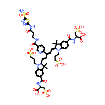 CC1(C)C(=CC=C(/C=C/C2=[N+](CCCS(=O)(=O)O)c3ccc(C(=O)NC(CS(=O)(=O)O)C(=O)O)cc3C2(C)C)c2ccc(C(=O)NCCC(=O)Nc3nnc(S(N)(=O)=O)s3)cn2)N(CCCS(=O)(=O)O)c2ccc(C(=O)NC(CS(=O)(=O)O)C(=O)O)cc21